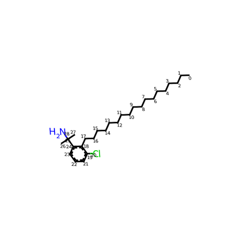 CCCCCCCCCCCCCCCCCCc1c(Cl)cccc1C(C)(C)N